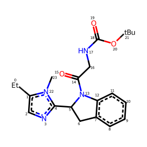 CCc1cnc(C2Cc3ccccc3N2C(=O)CNC(=O)OC(C)(C)C)n1C